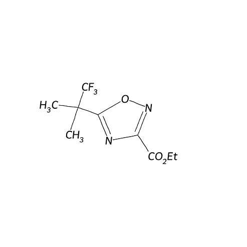 CCOC(=O)c1noc(C(C)(C)C(F)(F)F)n1